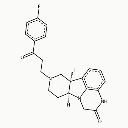 O=C1CN2c3c(cccc3[C@@H]3CN(CCC(=O)c4ccc(F)cc4)CC[C@@H]32)N1